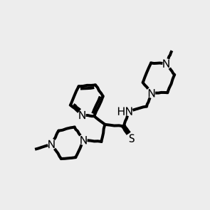 CN1CCN(CNC(=S)C(CN2CCN(C)CC2)c2ccccn2)CC1